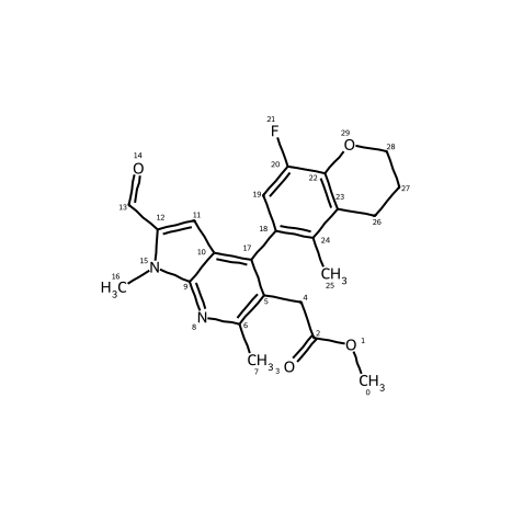 COC(=O)Cc1c(C)nc2c(cc(C=O)n2C)c1-c1cc(F)c2c(c1C)CCCO2